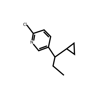 CCC(c1ccc(Cl)nc1)C1CC1